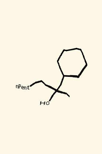 CCCCCCC(C)(O)C1CCCCC1